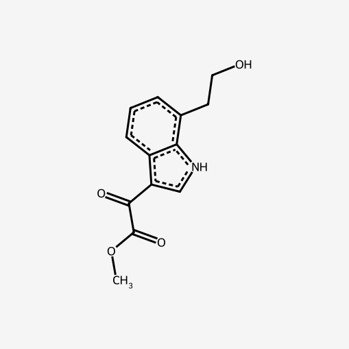 COC(=O)C(=O)c1c[nH]c2c(CCO)cccc12